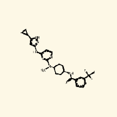 CN(c1nccc(Nc2cc(C3CC3)[nH]n2)n1)[C@H]1CC[C@H](NC(=O)c2cccc(C(F)(F)F)c2)CC1